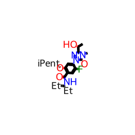 CCCC(C)Oc1cc(-n2nc(C(C)O)n(C)c2=O)c(F)cc1C(=O)NC(CC)CC